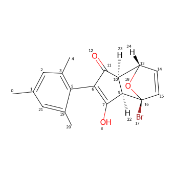 Cc1cc(C)c(C2=C(O)[C@H]3[C@@H](C2=O)[C@@H]2C=C[C@@]3(Br)O2)c(C)c1